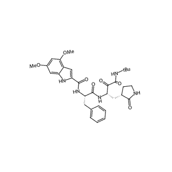 COc1cc(OC)c2cc(C(=O)N[C@@H](Cc3ccccc3)C(=O)N[C@@H](C[C@@H]3CCNC3=O)C(=O)C(=O)NC(C)(C)C)[nH]c2c1